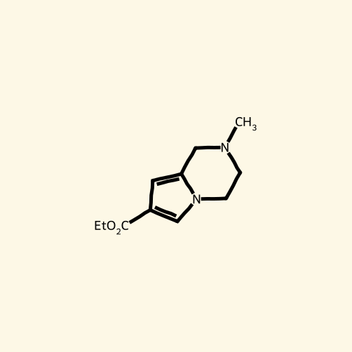 CCOC(=O)c1cc2n(c1)CCN(C)C2